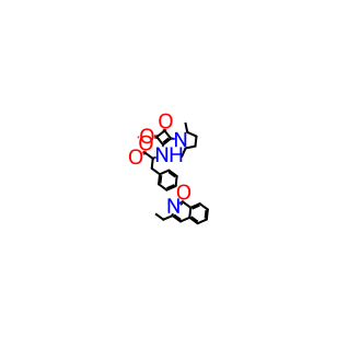 CCc1cc2ccccc2c(Oc2ccc(CC(Nc3c(N4C(C)CCC4C)c(=O)c3=O)C(=O)OC)cc2)n1